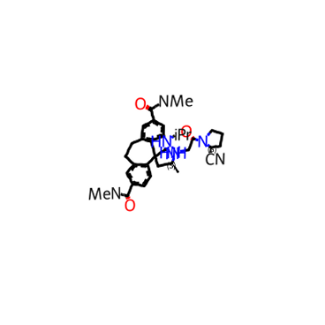 CNC(=O)c1ccc2c(c1)CCc1cc(C(=O)NC)ccc1C2(C[C@H](C)NCC(=O)N1CCC[C@H]1C#N)C(=N)NC(C)C